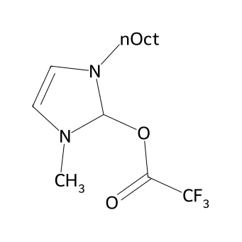 CCCCCCCCN1C=CN(C)C1OC(=O)C(F)(F)F